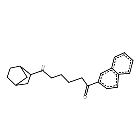 O=C(CCCCNC1CC2CCC1C2)c1ccc2ccccc2c1